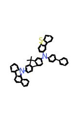 CC1(C)c2cc(N(c3ccc(-c4ccccc4)cc3)c3ccc4sc5ccccc5c4c3)ccc2-c2ccc(-n3c4ccccc4c4ccc5ccccc5c43)cc21